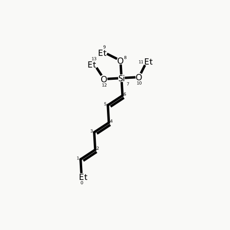 CCC=CC=CC=C[Si](OCC)(OCC)OCC